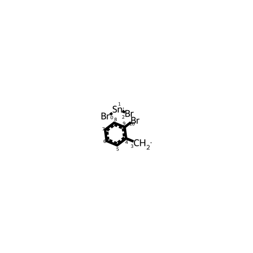 [Br][Sn][Br].[CH2]c1ccccc1Br